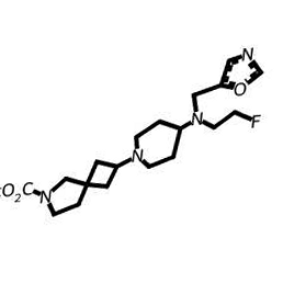 CCOC(=O)N1CCC2(CC(N3CCC(N(CCF)Cc4cnco4)CC3)C2)C1